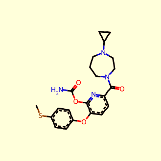 CSc1ccc(Oc2ccc(C(=O)N3CCCN(C4CC4)CC3)nc2OC(N)=O)cc1